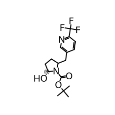 CC(C)(C)OC(=O)N1C(Cc2ccc(C(F)(F)F)nc2)CC[C@H]1O